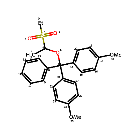 [CH2]CS(=O)(=O)C(C)OC(c1ccccc1)(c1ccc(OC)cc1)c1ccc(OC)cc1